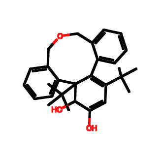 CC(C)(C)C1=C2c3ccccc3COCc3ccccc3C2(C(C)(C)C)C(O)C(O)=C1